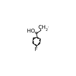 [CH2]C[C@@H](O)c1ccc(F)cc1